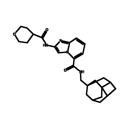 O=C(NCC12CC3CC4CC(C1)C4(C3)C2)c1cccc2nc(NC(=O)C3CCOCC3)cn12